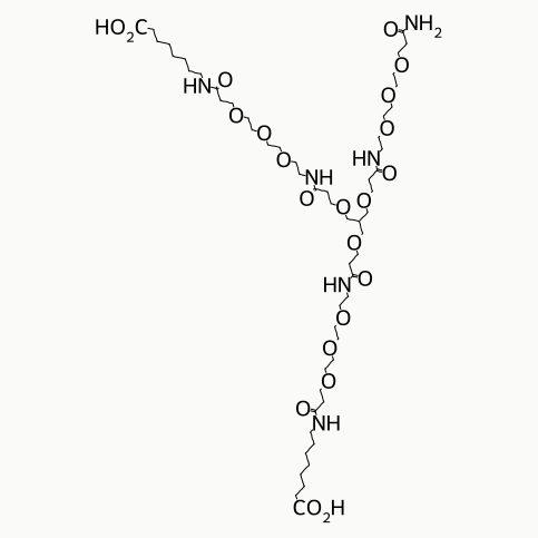 NC(=O)CCOCCOCCOCCNC(=O)CCOCC(COCCC(=O)NCCOCCOCCOCCC(=O)NCCCCCCCC(=O)O)COCCC(=O)NCCOCCOCCOCCC(=O)NCCCCCCCC(=O)O